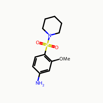 COc1cc(N)ccc1S(=O)(=O)N1CCCCC1